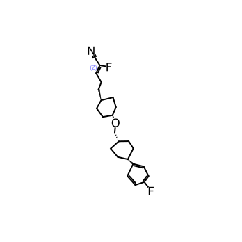 N#C/C(F)=C/CC[C@H]1CC[C@H](OC[C@H]2CC[C@H](c3ccc(F)cc3)CC2)CC1